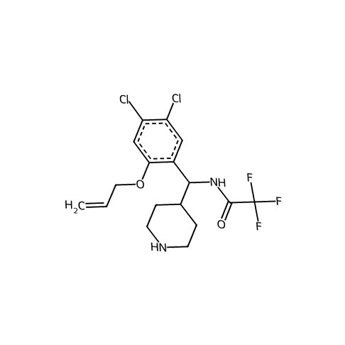 C=CCOc1cc(Cl)c(Cl)cc1C(NC(=O)C(F)(F)F)C1CCNCC1